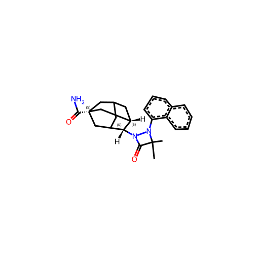 CC1(C)C(=O)N([C@@H]2C3CC4C[C@H]2C[C@](C(N)=O)(C4)C3)N1c1cccc2ccccc12